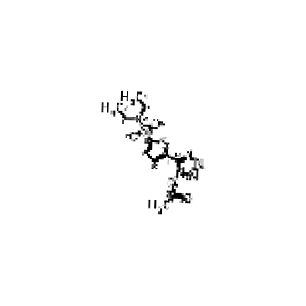 CCN(CC)S(=O)(=O)c1ccc(-c2nnnn2OC(C)=O)s1